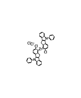 Clc1ccc2c([c]1[Zr+2][c]1c(Cl)ccc3c1Cc1c-3n(-c3ccccc3)c3ccccc13)Cc1c-2n(-c2ccccc2)c2ccccc12.[Cl-].[Cl-]